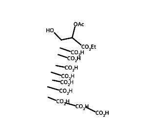 CC(=O)O.CC(=O)O.CC(=O)O.CC(=O)O.CC(=O)O.CC(=O)O.CC(=O)O.CC(=O)O.CC(=O)O.CCOC(=O)C(CO)OC(C)=O